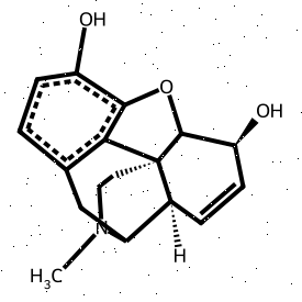 CN1CC[C@]23c4c5ccc(O)c4OC2[C@@H](O)C=C[C@H]3C1C5